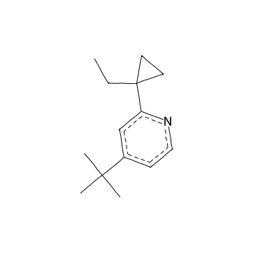 CCC1(c2cc(C(C)(C)C)ccn2)CC1